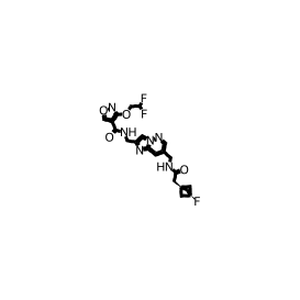 O=C(C[C@]12C[C@@](F)(C1)C2)NCc1cnn2cc(CNC(=O)c3conc3OCC(F)F)nc2c1